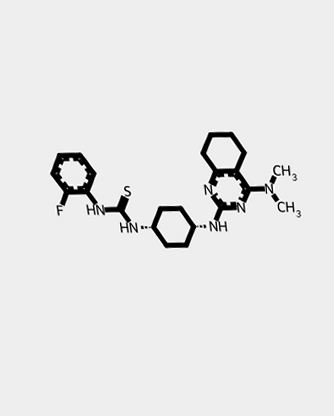 CN(C)c1nc(N[C@H]2CC[C@@H](NC(=S)Nc3ccccc3F)CC2)nc2c1CCCC2